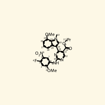 COc1cc(F)c([N+](=O)[O-])cc1Nc1ncc(C(=O)OC(C)C)c(-c2cn(C)c3c(OC)cccc23)n1